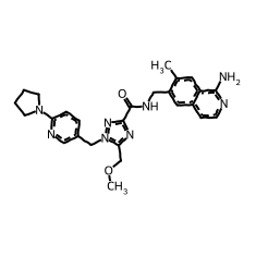 COCc1nc(C(=O)NCc2cc3ccnc(N)c3cc2C)nn1Cc1ccc(N2CCCC2)nc1